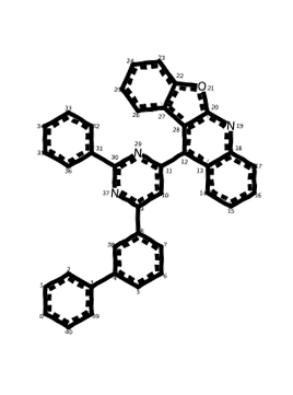 c1ccc(-c2cccc(-c3cc(-c4c5ccccc5nc5oc6ccccc6c45)nc(-c4ccccc4)n3)c2)cc1